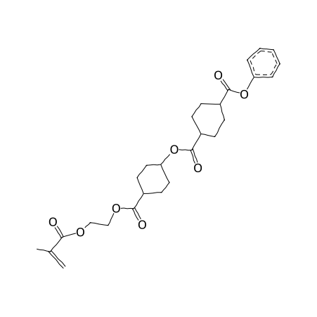 C=C(C)C(=O)OCCOC(=O)C1CCC(OC(=O)C2CCC(C(=O)Oc3ccccc3)CC2)CC1